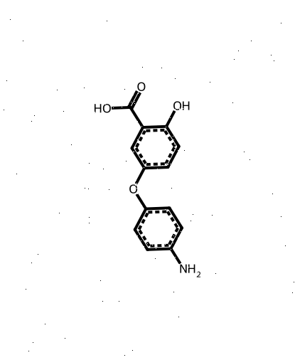 Nc1ccc(Oc2ccc(O)c(C(=O)O)c2)cc1